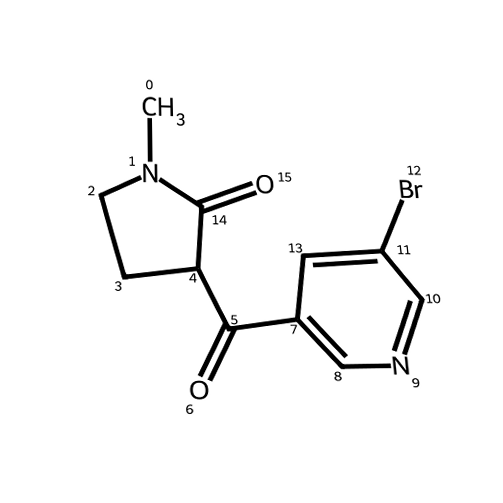 CN1CCC(C(=O)c2cncc(Br)c2)C1=O